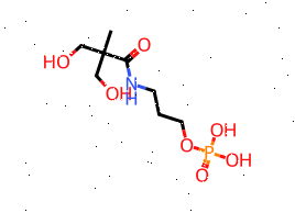 CC(CO)(CO)C(=O)NCCCOP(=O)(O)O